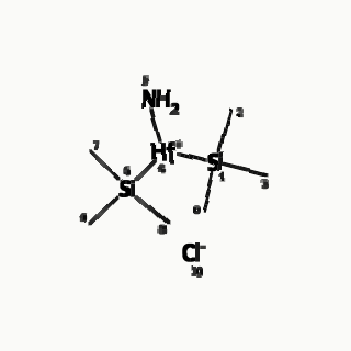 C[Si](C)(C)[Hf+]([NH2])[Si](C)(C)C.[Cl-]